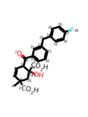 CC1(C(=O)O)C=CC(C(=O)c2cccc(Cc3ccc(F)cc3)c2)C(O)(C(=O)O)C1